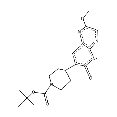 COc1cnc2[nH]c(=O)c(C3CCN(C(=O)OC(C)(C)C)CC3)cc2n1